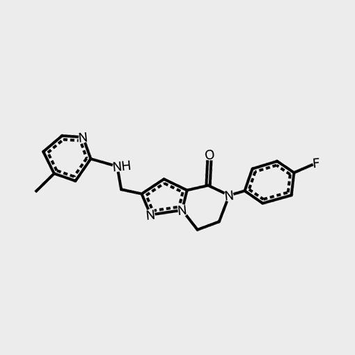 Cc1ccnc(NCc2cc3n(n2)CCN(c2ccc(F)cc2)C3=O)c1